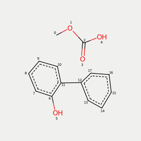 COC(=O)O.Oc1ccccc1-c1ccccc1